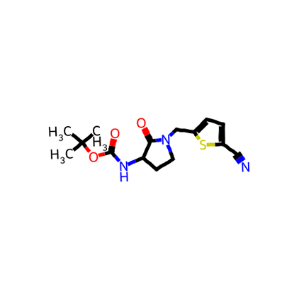 CC(C)(C)OC(=O)NC1CCN(Cc2ccc(C#N)s2)C1=O